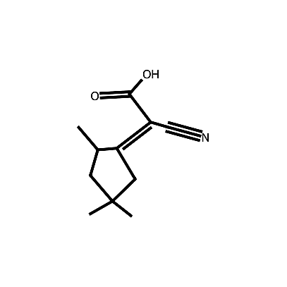 CC1CC(C)(C)CC1=C(C#N)C(=O)O